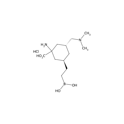 CN(C)C[C@@H]1C[C@@H](CCB(O)O)CC(N)(C(=O)O)C1.Cl